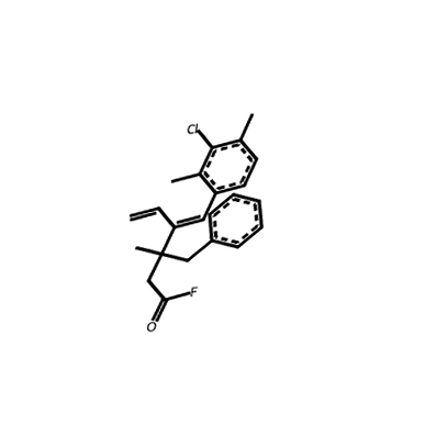 C=C/C(=C\c1ccc(C)c(Cl)c1C)C(C)(CC(=O)F)Cc1ccccc1